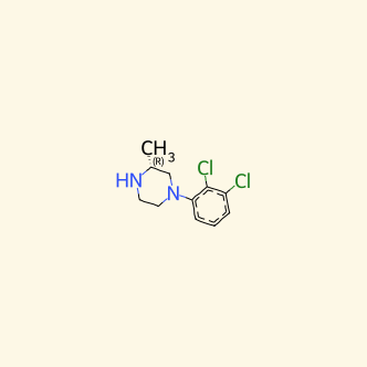 C[C@@H]1CN(c2cccc(Cl)c2Cl)CCN1